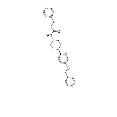 O=C(CCc1ccccc1)N[C@H]1CC[C@H](c2ccc(OCc3ccccc3)cn2)CC1